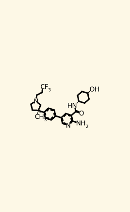 C[C@]1(c2ccc(-c3cnc(N)c(C(=O)N[C@H]4CC[C@H](O)CC4)c3)cc2)CCN(CCC(F)(F)F)C1